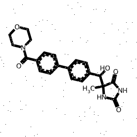 CC1(C(O)c2ccc(-c3ccc(C(=O)N4CCOCC4)cc3)cc2)NC(=O)NC1=O